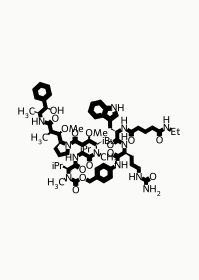 CCNC(=O)CCCC(=O)N[C@@H](Cc1c[nH]c2ccccc12)C(=O)N[C@@H](CCCNC(N)=O)C(=O)Nc1ccc(COC(=O)N(C)[C@H](C(=O)N[C@H](C(=O)N(C)[C@@H]([C@@H](C)CC)[C@@H](CC(=O)N2CCC[C@H]2[C@H](OC)[C@@H](C)C(=O)N[C@H](C)[C@@H](O)c2ccccc2)OC)C(C)C)C(C)C)cc1